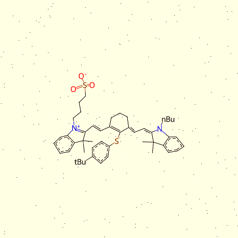 CCCCN1/C(=C/C=C2\CCCC(/C=C/C3=[N+](CCCCS(=O)(=O)[O-])c4ccccc4C3(C)C)=C2Sc2ccc(C(C)(C)C)cc2)C(C)(C)c2ccccc21